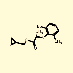 CCc1cccc(C)c1N[C@@H](C)C(=O)OCC1CC1